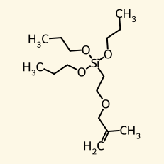 C=C(C)COCC[Si](OCCC)(OCCC)OCCC